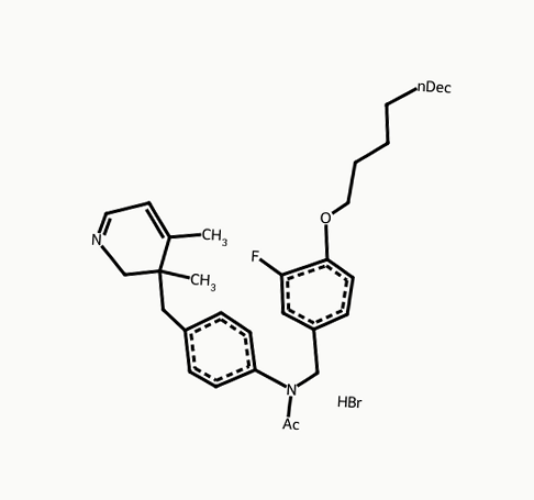 Br.CCCCCCCCCCCCCCOc1ccc(CN(C(C)=O)c2ccc(CC3(C)CN=CC=C3C)cc2)cc1F